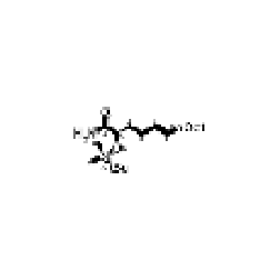 CCCCCC[CH]C/C=C/CC[C@@H](O[Si](C)(C)C(C)(C)C)C(N)=O